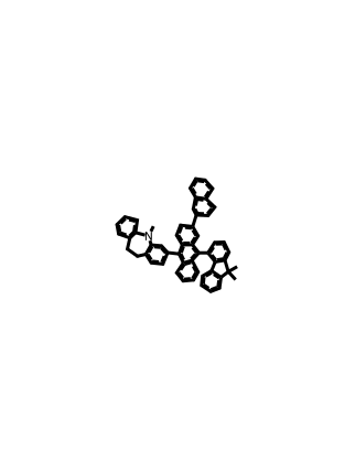 CN1c2ccccc2CCc2ccc(-c3c4ccccc4c(-c4cccc5c4-c4ccccc4C5(C)C)c4cc(-c5ccc6ccccc6c5)ccc34)cc21